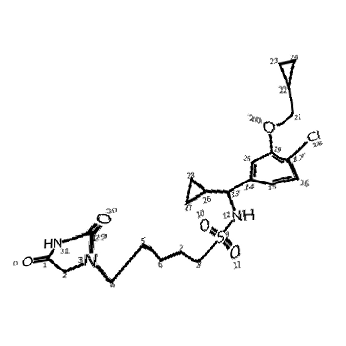 O=C1CN(CCCCCS(=O)(=O)NC(c2ccc(Cl)c(OCC3CC3)c2)C2CC2)C(=O)N1